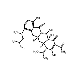 CC(C)OC(N)c1ccc(O)c2c1C[C@H]1C[C@H]3[C@H](N(C)C)C(O)=C(C(N)=O)C(=O)[C@@]3(O)C(O)=C1C2=O